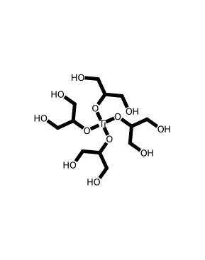 OCC(CO)[O][Ti]([O]C(CO)CO)([O]C(CO)CO)[O]C(CO)CO